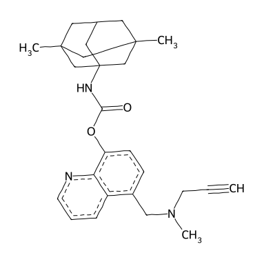 C#CCN(C)Cc1ccc(OC(=O)NC23CC4CC(C)(CC(C)(C4)C2)C3)c2ncccc12